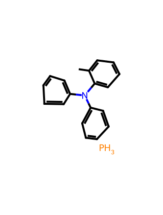 Cc1ccccc1N(c1ccccc1)c1ccccc1.P